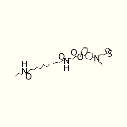 CCCNC(=O)CCCCCCCCCCC(=O)NCCC(=O)Oc1cccc2c1CCC(N(CCC)CCc1cccs1)C2